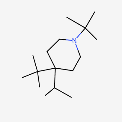 CC(C)C1(C(C)(C)C)CCN(C(C)(C)C)CC1